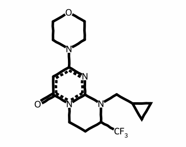 O=c1cc(N2CCOCC2)nc2n1CCC(C(F)(F)F)N2CC1CC1